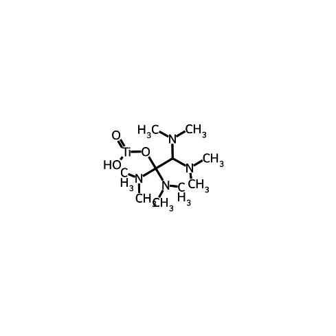 CN(C)C(N(C)C)C([O][Ti](=[O])[OH])(N(C)C)N(C)C